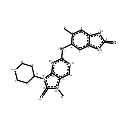 Cc1cc2[nH]c(=O)[nH]c2cc1Nc1ncc2c(n1)n(C1CCOCC1)c(=O)n2C